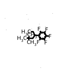 CCC(CC(C)(C)C)c1c(F)c(F)c(F)c(F)c1F